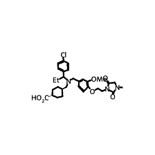 CCC(c1ccc(Cl)cc1)N(Cc1ccc(OCCN2C(=O)CN(C)C2=O)c(OC)c1)C[C@H]1CC[C@H](C(=O)O)CC1